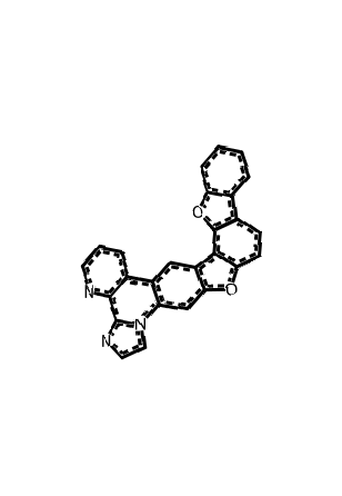 c1ccc2c(c1)oc1c2ccc2oc3cc4c(cc3c21)c1cccnc1c1nccn41